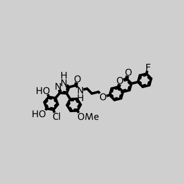 COc1ccc(-c2c(-c3cc(Cl)c(O)cc3O)n[nH]c2C(=O)NCCCOc2ccc3cc(-c4cccc(F)c4)c(=O)oc3c2)cc1